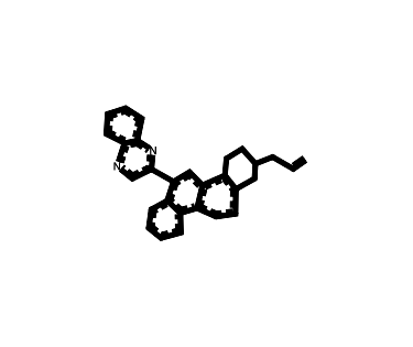 C=CCC1CCc2c(ccc3c2cc(-c2cnc4ccccc4n2)c2ccccc23)C1